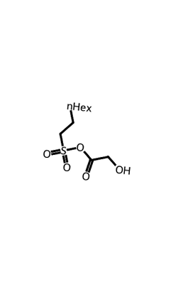 CCCCCCCCS(=O)(=O)OC(=O)CO